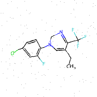 CCC1=CN(c2ccc(Cl)cc2F)CN=C1C(F)(F)F